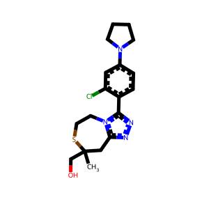 CC1(CO)Cc2nnc(-c3ccc(N4CCCC4)cc3Cl)n2CCS1